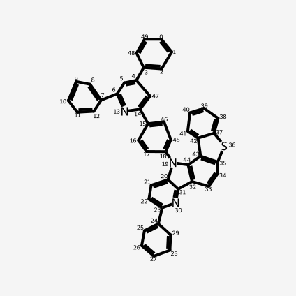 c1ccc(-c2cc(-c3ccccc3)nc(-c3ccc(-n4c5ccc(-c6ccccc6)nc5c5ccc6sc7ccccc7c6c54)cc3)c2)cc1